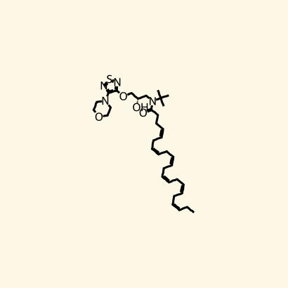 CC/C=C\C/C=C\C/C=C\C/C=C\C/C=C\C/C=C\CCC(=O)N(C[C@H](O)COc1nsnc1N1CCOCC1)C(C)(C)C